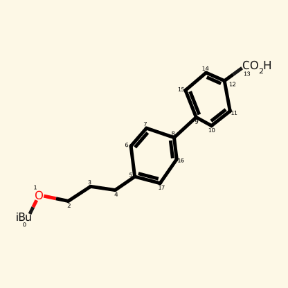 CCC(C)OCCCc1ccc(-c2ccc(C(=O)O)cc2)cc1